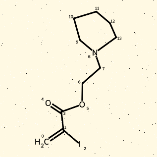 C=C(I)C(=O)OCCN1CCCCC1